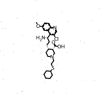 COc1ccc2ncc(Cl)c([C@@H](N)CC[C@H]3CCN(CCSC4CCCCC4)C[C@H]3C(=O)O)c2c1